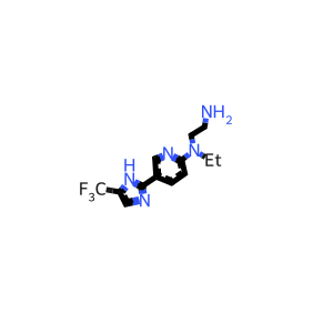 CCN(CCN)c1ccc(-c2ncc(C(F)(F)F)[nH]2)cn1